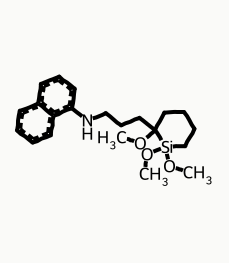 COC1(CCCNc2cccc3ccccc23)CCCC[Si]1(OC)OC